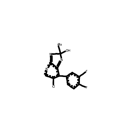 [CH2]C(CC)C1(O)N=c2ncc(Cl)c(-c3ccc(F)c(F)c3)c2=N1